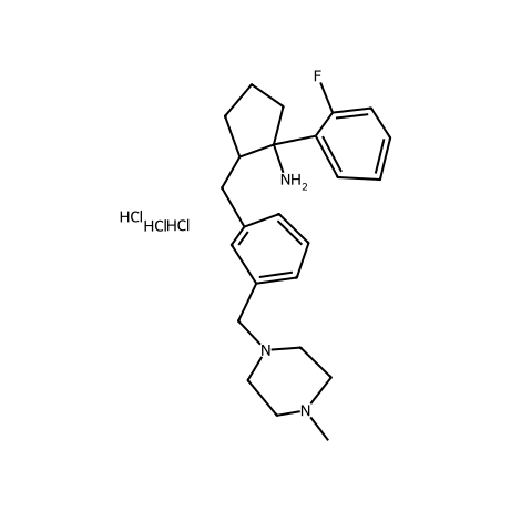 CN1CCN(Cc2cccc(CC3CCCC3(N)c3ccccc3F)c2)CC1.Cl.Cl.Cl